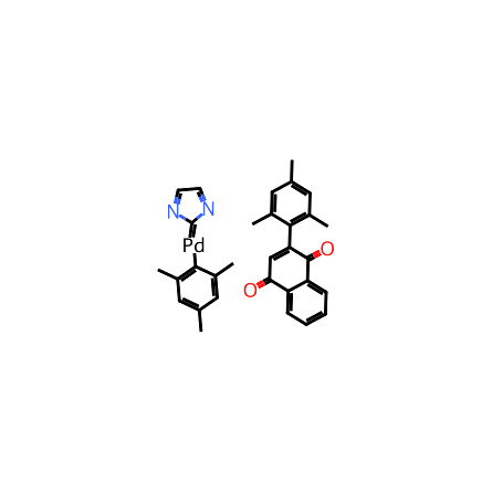 Cc1cc(C)[c]([Pd]=[C]2N=CC=N2)c(C)c1.Cc1cc(C)c(C2=CC(=O)c3ccccc3C2=O)c(C)c1